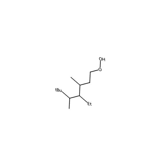 CCC(C(C)CCOO)C(C)C(C)(C)C